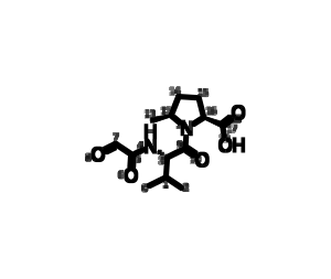 CC(C)[C@H](NC(=O)C=O)C(=O)N1[C@@H](C)CC[C@H]1C(=O)O